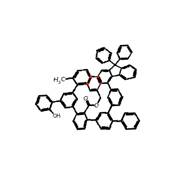 Cc1ccccc1-c1cc(-c2ccccc2O)cc(-c2cccc(-c3ccc(-c4ccccc4)c(-c4cccc(-c5cccc6c5-c5ccccc5C6(c5ccccc5)c5ccccc5)c4)c3)c2C(=O)OCc2ccccc2)c1